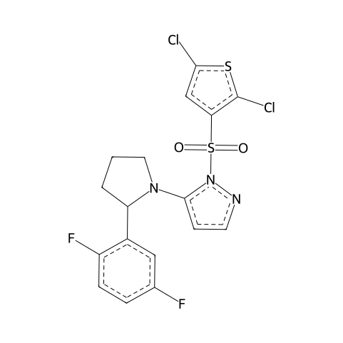 O=S(=O)(c1cc(Cl)sc1Cl)n1nccc1N1CCCC1c1cc(F)ccc1F